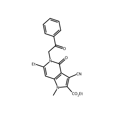 CCOC(=O)c1c(C#N)c2c(=O)n(CC(=O)c3ccccc3)c(CC)cc2n1C